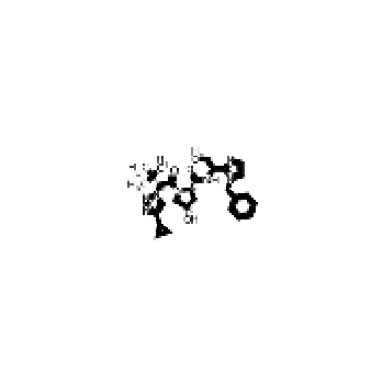 CCC(NC(=O)[C@H]1C[C@H](O)CN1C(=O)[C@H](n1cc(C2CC2)nn1)C(C)(C)C)c1nccn1Cc1ccccc1